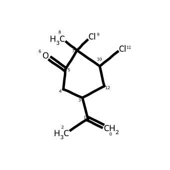 C=C(C)C1CC(=O)C(C)(Cl)C(Cl)C1